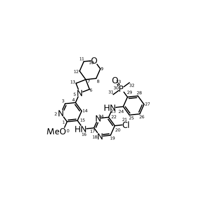 COc1ncc(N2CC3(CCOCC3)C2)cc1Nc1ncc(Cl)c(Nc2ccccc2P(C)(C)=O)n1